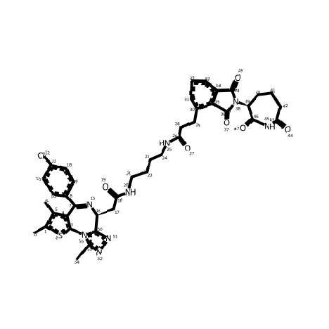 Cc1sc2c(c1C)C(c1ccc(Cl)cc1)=N[C@@H](CC(=O)NCCCCNC(=O)CCc1cccc3c1C(=O)N([C@H]1CCCC(=O)NC1=O)C3=O)c1nnc(C)n1-2